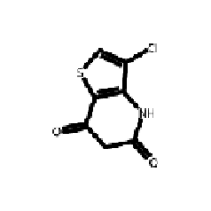 O=C1CC(=O)c2scc(Cl)c2N1